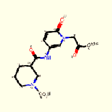 COC(=O)Cn1cc(NC(=O)C2CCCN(C(=O)O)C2)ccc1=O